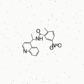 Cc1ccc([N+](=O)[O-])cc1C(=O)NC(C)c1ccnc2ccccc12